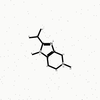 CC(C)c1nc2c(n1C)CCN(C)C2